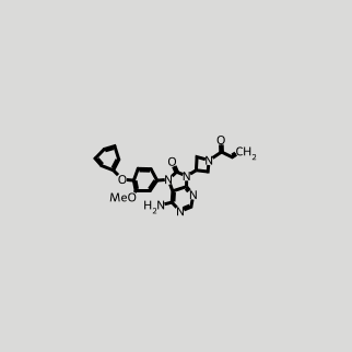 C=CC(=O)N1CC(n2c(=O)n(-c3ccc(Oc4ccccc4)c(OC)c3)c3c(N)ncnc32)C1